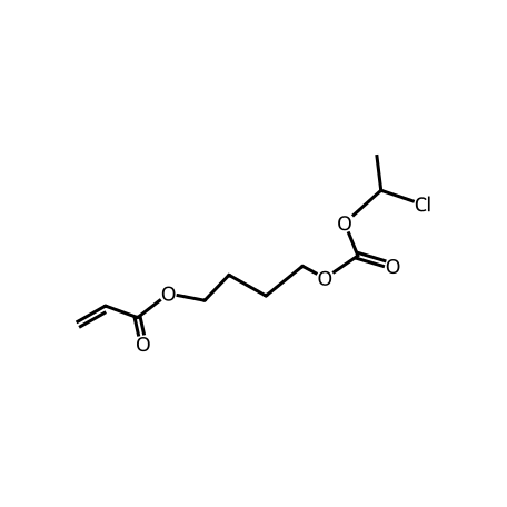 C=CC(=O)OCCCCOC(=O)OC(C)Cl